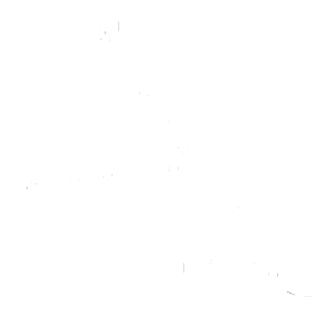 C=CCOCC(COCCOCCOCC(COCCOCCOCCOCCOC)COCCOCCOCCOCCOC)OCCOC